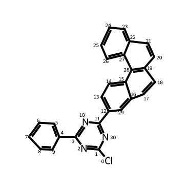 Clc1nc(-c2ccccc2)nc(-c2ccc3c(ccc4ccc5ccccc5c43)c2)n1